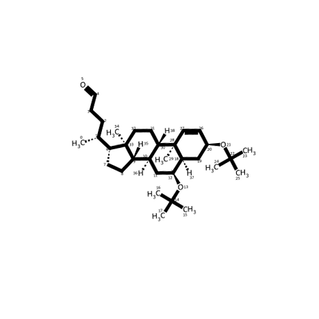 C[C@H](CCC=O)[C@H]1CC[C@H]2[C@@H]3C[C@H](OC(C)(C)C)[C@@H]4C[C@H](OC(C)(C)C)C=C[C@]4(C)[C@H]3CC[C@]12C